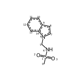 CS(=O)(=O)NCn1ccc2ccccc21